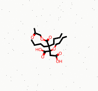 CCCCOC(CC(=O)O)(C(=O)O)C(CCCC)(CCCC)C(=O)OCC(C)=O